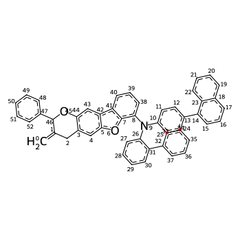 C=C1Cc2cc3oc4c(N(c5ccc(-c6cccc7ccccc67)cc5)c5ccccc5-c5ccccc5)cccc4c3cc2OC1c1ccccc1